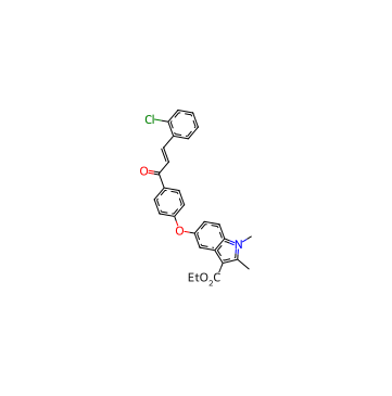 CCOC(=O)c1c(C)n(C)c2ccc(Oc3ccc(C(=O)C=Cc4ccccc4Cl)cc3)cc12